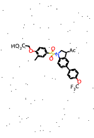 CC(=O)C1CN(S(=O)(=O)c2ccc(OCC(=O)O)c(C)c2)c2ccc(-c3ccc(OC(F)(F)F)cc3)cc21